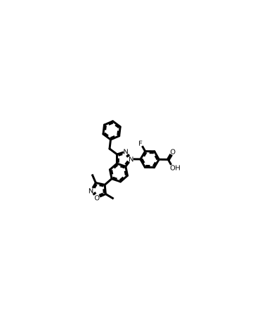 Cc1noc(C)c1-c1ccc2c(c1)c(Cc1ccccc1)nn2-c1ccc(C(=O)O)cc1F